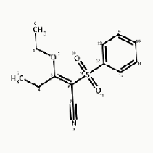 CCOC(CC)=C(C#N)S(=O)(=O)c1ccccc1